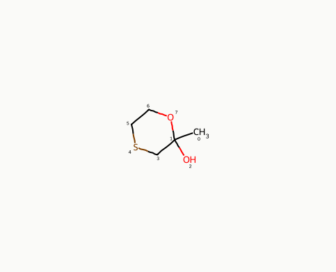 CC1(O)CSCCO1